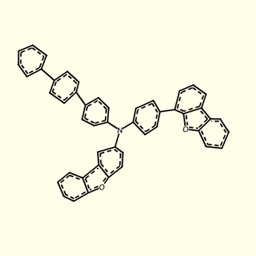 c1ccc(-c2ccc(-c3ccc(N(c4ccc(-c5cccc6c5oc5ccccc56)cc4)c4ccc5oc6ccccc6c5c4)cc3)cc2)cc1